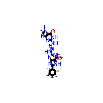 O=c1[nH]c(NN=NNc2nc3nc(-c4ccccc4)[nH]c3c(=O)[nH]2)nc2nc[nH]c12